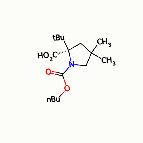 CCCCOC(=O)N1CC(C)(C)C[C@]1(C(=O)O)C(C)(C)C